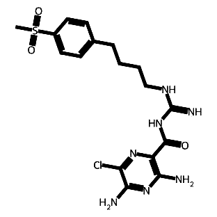 CS(=O)(=O)c1ccc(CCCCNC(=N)NC(=O)c2nc(Cl)c(N)nc2N)cc1